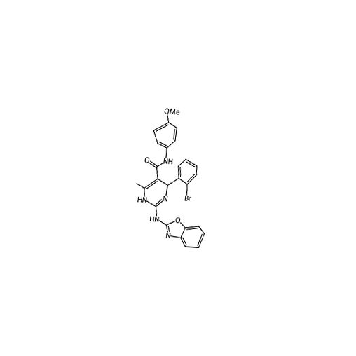 COc1ccc(NC(=O)C2=C(C)NC(Nc3nc4ccccc4o3)=NC2c2ccccc2Br)cc1